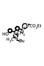 CCOC(=O)CN1CCCN(C(=O)c2cccc(C(c3cccc(O)c3)N3C[C@@H](C)N(CC(C)CC)C[C@@H]3C)c2)CC1